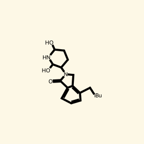 [CH2]CC(C)Cc1cccc2c1CN(C1CCC(O)NC1O)C2=O